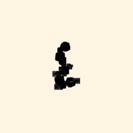 Brc1cnc(Nc2ccc3[nH]cc(C4=CCNCC4)c3c2)nc1NCc1ccc(Oc2ccccc2)cc1